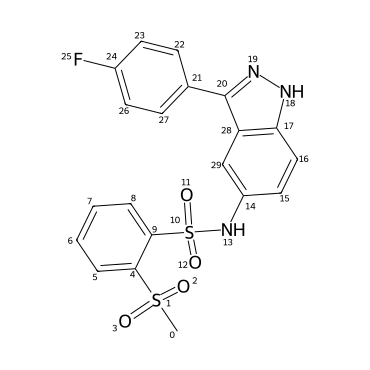 CS(=O)(=O)c1ccccc1S(=O)(=O)Nc1ccc2[nH]nc(-c3ccc(F)cc3)c2c1